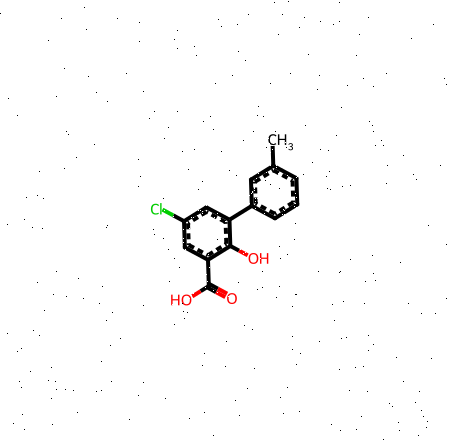 Cc1cccc(-c2cc(Cl)cc(C(=O)O)c2O)c1